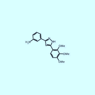 COc1ccc(-c2nc(-c3cccc(N)c3)n[nH]2)c(OC)c1OC